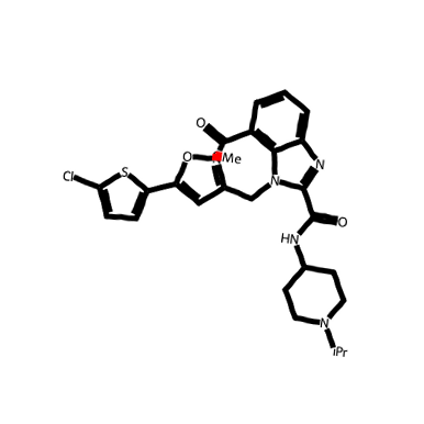 COC(=O)c1cccc2nc(C(=O)NC3CCN(C(C)C)CC3)n(Cc3cc(-c4ccc(Cl)s4)on3)c12